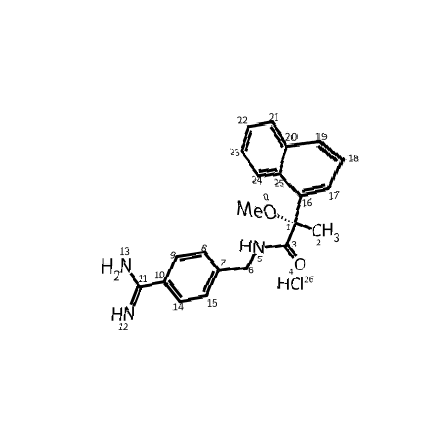 CO[C@](C)(C(=O)NCc1ccc(C(=N)N)cc1)c1cccc2ccccc12.Cl